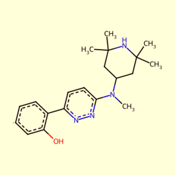 CN(c1ccc(-c2cc[c]cc2O)nn1)C1CC(C)(C)NC(C)(C)C1